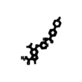 Cc1cc2cc(Oc3ccnc(NC(=O)c4ccc(C5CCN(C)CC5)cc4)c3)c(N(C)C)cc2n1C(N)=O